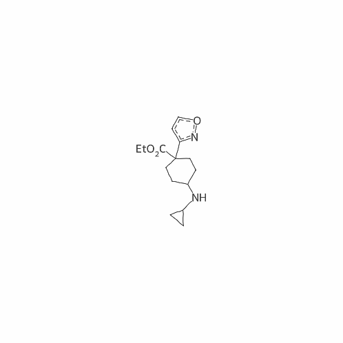 CCOC(=O)C1(c2ccon2)CCC(NC2CC2)CC1